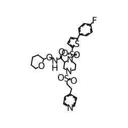 O=C(NOC1CCCCO1)C1CN(S(=O)(=O)CCc2ccncc2)CCN1S(=O)(=O)c1ccc(-c2ccc(F)cc2)s1